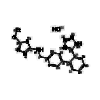 CCSc1nnc(NCc2ccc(-c3ccccc3-c3nnn[nH]3)cc2)s1.Cl